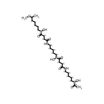 CSC(C)CCCCCN(O)C(=O)CCC(=O)NCCCCCN(O)C(=O)CCC(=O)NCCCCCN(O)C(C)=O